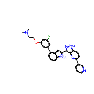 CN(C)CCOc1cc(F)cc(-c2cccc3[nH]c(-c4n[nH]c5ccc(-c6cccnc6)nc45)cc23)c1